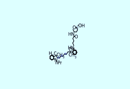 CCCN1/C(=C/C=C/C=C/CC(C)(C)c2ccccc2NCCCCC(=O)NC2CC[C@@H](CO)OC2)C(C)(C)c2ccccc21